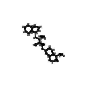 Nc1nccc2cc(CNC(=O)[C@@H](N)Cc3cccc4ccccc34)ccc12